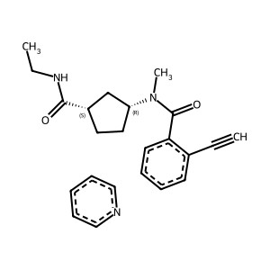 C#Cc1ccccc1C(=O)N(C)[C@@H]1CC[C@H](C(=O)NCC)C1.c1ccncc1